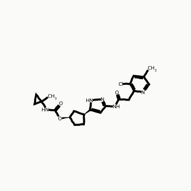 Cc1cnc(CC(=O)Nc2cc([C@H]3CC[C@@H](OC(=O)NC4(C)CC4)C3)[nH]n2)c(Cl)c1